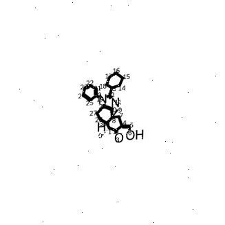 C[C@H]1C(=O)/C(=C\O)C[C@@]2(C)c3nc(C4CCCCC4)n(-c4ccccc4)c3CC[C@H]12